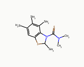 CN(C)C(=S)N1c2c(cc([SiH3])c([SiH3])c2[SiH3])SC1[SiH3]